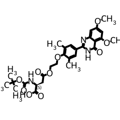 COc1cc(OC)c2c(=O)[nH]c(-c3cc(C)c(OCCOC(=O)C[C@H](NC(=O)OC(C)(C)C)C(=O)O)c(C)c3)nc2c1